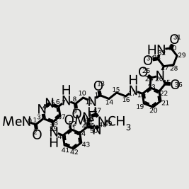 CNC(=O)c1nnc(NC(=O)CNC(=O)CCCNc2cccc3c2C(=O)N(C2CCC(=O)NC2=O)C3=O)cc1Nc1cccc(-c2ncn(C)n2)c1OC